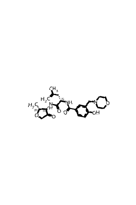 C=C(C)C[C@H](NC(=O)c1ccc(O)c(CN2CCOCC2)c1)C(=O)N[C@@H]1C(=O)CO[C@@H]1C